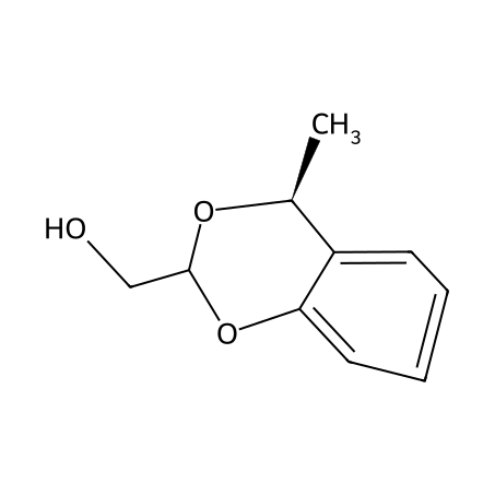 C[C@@H]1OC(CO)Oc2ccccc21